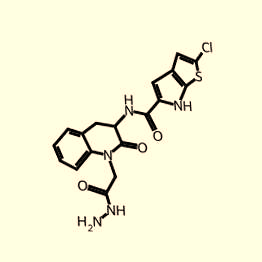 NNC(=O)CN1C(=O)C(NC(=O)c2cc3cc(Cl)sc3[nH]2)Cc2ccccc21